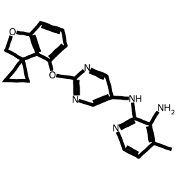 Cc1ccnc(Nc2cnc(Oc3cccc4c3C3(CC3)CO4)nc2)c1N